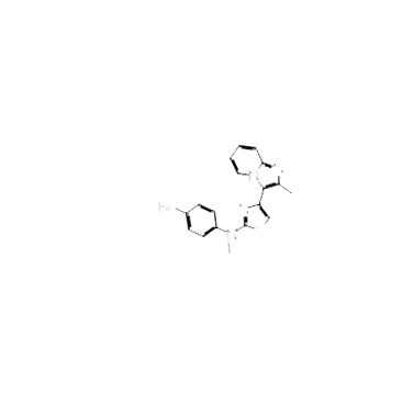 Cc1nc2ccccn2c1-c1csc(Nc2ccc(Br)cc2)n1